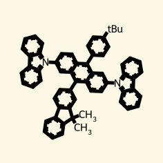 CC(C)(C)c1ccc(-c2c3ccc(-n4c5ccccc5c5ccccc54)cc3c(-c3ccc4c(c3)C(C)(C)c3ccccc3-4)c3ccc(-n4c5ccccc5c5ccccc54)cc23)cc1